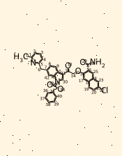 Cc1cccc(Cc2ccc3c(C(=O)COc4cc5ccc(Cl)cc5cc4C(N)=O)cn(S(=O)(=O)c4ccccc4)c3c2)n1